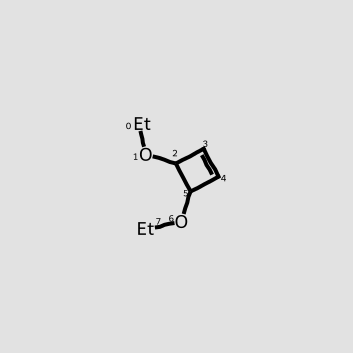 CCOC1C=CC1OCC